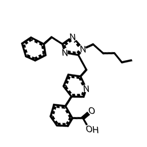 CCCCCn1nc(Cc2ccccc2)nc1Cc1ccc(-c2ccccc2C(=O)O)cn1